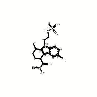 CCN(CC)C(=O)C1CCC(I)c2c1c1cc(F)ccc1n2CCOS(C)(=O)=O